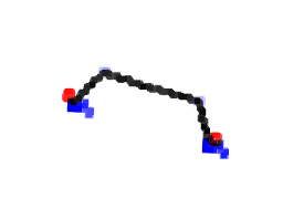 NC(=O)CCCCCCC/C=C\CCCCCCCCCCCCCCCCC/C=C\CCCCCCCC(N)=O